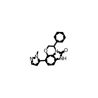 Cn1nccc1-c1ccc2[nH]c(=O)n3c2c1OCC3c1ccccc1